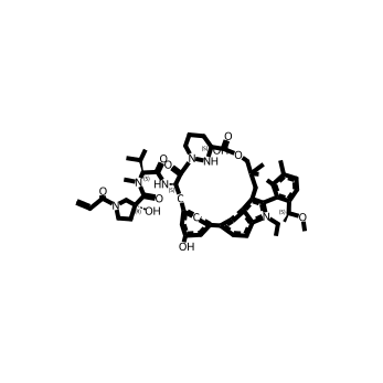 C=CC(=O)N1CC[C@](O)(C(=O)N(C)[C@H](C(=O)N[C@H]2Cc3cc(O)cc(c3)-c3ccc4c(c3)c(c(-c3c([C@H](C)OC)ccc(C)c3C)n4CC)CC(C)(C)COC(=O)[C@@]3(O)CCCN(N3)C2=O)C(C)C)C1